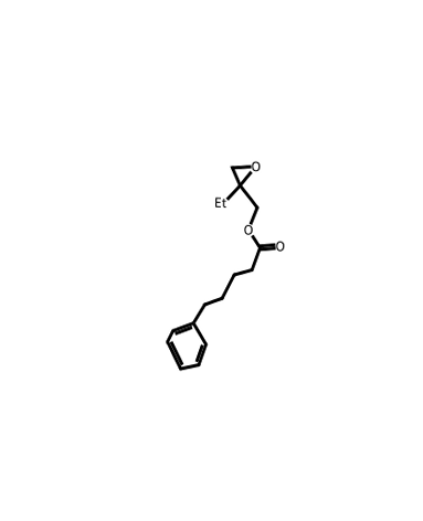 CCC1(COC(=O)CCCCc2ccccc2)CO1